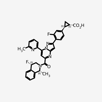 Cc1cccc(-c2cc(C(=O)N3C[C@@H](F)c4ccccc4[C@H]3C)nc3cc(-c4ccc([C@H]5C[C@@H]5C(=O)O)cc4F)nn23)n1